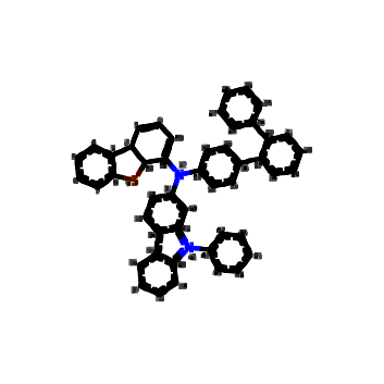 C1=CC2c3ccccc3SC2C(N(c2ccc(-c3ccccc3-c3ccccc3)cc2)c2ccc3c4ccccc4n(-c4ccccc4)c3c2)=C1